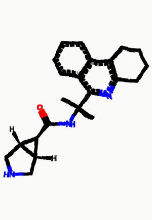 CC(C)(NC(=O)[C@H]1[C@@H]2CNC[C@@H]21)c1nc2c(c3ccccc13)CCCC2